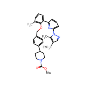 CCOC(=O)c1cnn(-c2cccc(-c3cccc(C(F)(F)F)c3OCc3ccc(C4CCN(C(=O)OC(C)(C)C)CC4)cc3)n2)c1C(F)(F)F